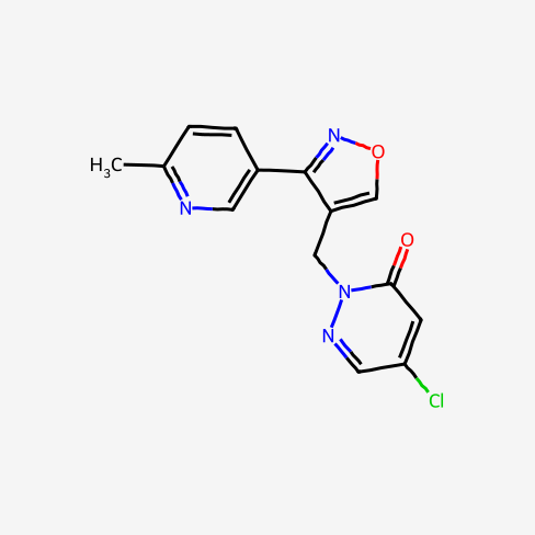 Cc1ccc(-c2nocc2Cn2ncc(Cl)cc2=O)cn1